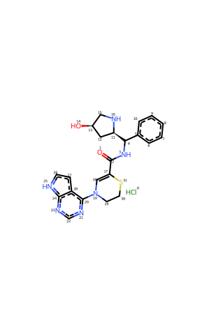 Cl.O=C(NC(c1ccccc1)[C@H]1C[C@@H](O)CN1)C1=CN(c2ncnc3[nH]ccc23)CCS1